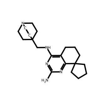 Nc1nc(NCC23CCN(CC2)CC3)c2c(n1)C1(CCCC1)CCC2